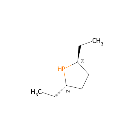 CC[C@H]1CC[C@H](CC)P1